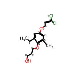 CCc1cc(OCC=C(Cl)Cl)cc(C)c1OCCCO